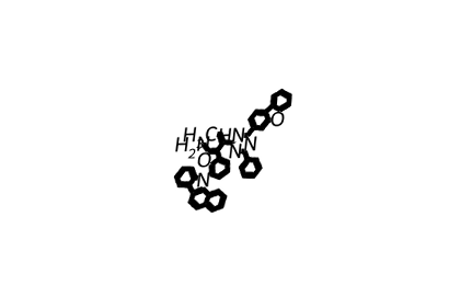 C/C=C(/C1=NC(c2ccccc2)=NC(c2ccc3c(c2)oc2ccccc23)N1)c1c(N)oc2c(-n3c4ccccc4c4ccc5ccccc5c43)cccc12